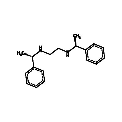 C[C@H](NCCN[C@@H](C)c1ccccc1)c1ccccc1